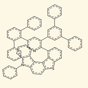 c1ccc(-c2cc(-c3ccccc3)cc(-c3cc(-c4c(-c5ccccc5)cccc4-c4ccccc4)cnc3-c3cccc4sc5ccc6c(c7ccccc7n6-c6ccccc6)c5c34)c2)cc1